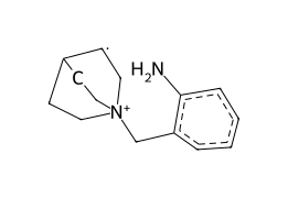 Nc1ccccc1C[N+]12C[CH]C(CC1)CC2